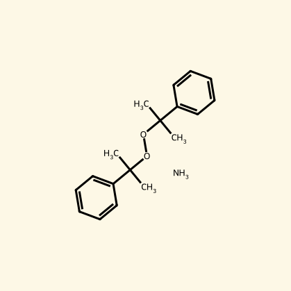 CC(C)(OOC(C)(C)c1ccccc1)c1ccccc1.N